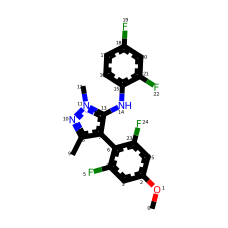 COc1cc(F)c(-c2c(C)nn(C)c2Nc2ccc(F)cc2F)c(F)c1